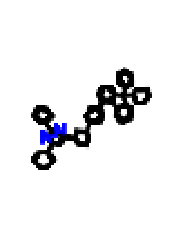 C1=CC(c2cc(-c3cccc(-c4ccc(-c5cccc6c5-c5ccccc5C6(C5=CCCC=C5)c5ccccc5)cc4)c3)nc(-c3ccccc3)n2)=CCC1